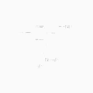 CC(C)N(CCc1cc(O)ccc1CCN)C(C)C